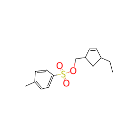 CCC1C=CC(COS(=O)(=O)c2ccc(C)cc2)C1